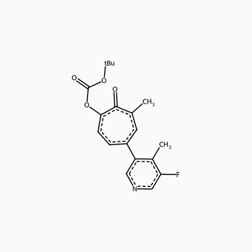 Cc1c(F)cncc1-c1ccc(OC(=O)OC(C)(C)C)c(=O)c(C)c1